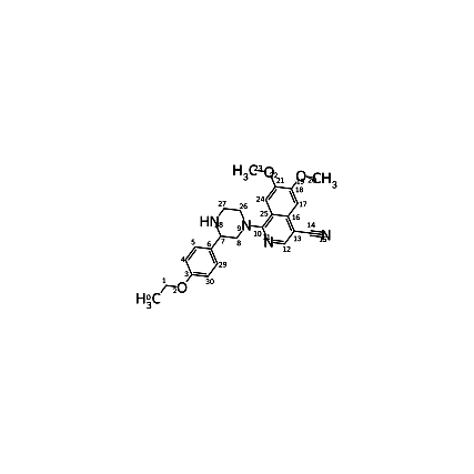 CCOc1ccc(C2CN(c3ncc(C#N)c4cc(OC)c(OC)cc34)CCN2)cc1